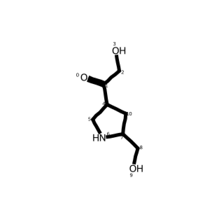 O=C(CO)C1CNC(CO)C1